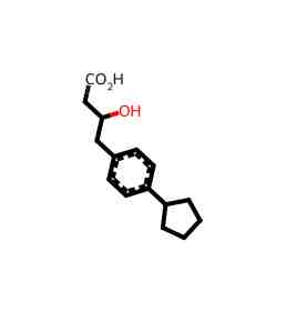 O=C(O)CC(O)Cc1ccc(C2CCCC2)cc1